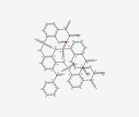 N=C1C=Cc2c(cccc2S(=O)(=O)Oc2ccc(C(=O)c3ccccc3)c(OS(=O)(=O)c3cccc4c3C=CC(=N)C4=O)c2OS(=O)(=O)c2cccc3c2C=CC(=N)C3=O)C1=O